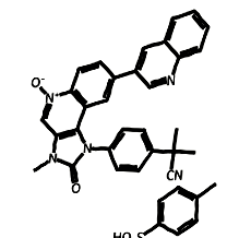 Cc1ccc(S(=O)(=O)O)cc1.Cn1c(=O)n(-c2ccc(C(C)(C)C#N)cc2)c2c3cc(-c4cnc5ccccc5c4)ccc3[n+]([O-])cc21